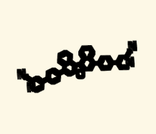 N#Cc1cc(-c2ccc(-c3cc4oc5cc(-c6ccc(-c7ccnc(C#N)c7)cc6)c6ccccc6c5c4c4ccccc34)cc2)ccn1